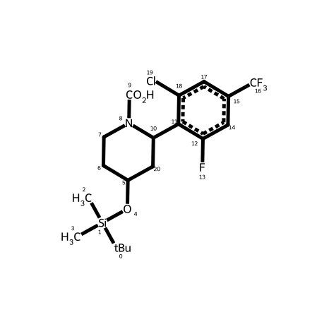 CC(C)(C)[Si](C)(C)OC1CCN(C(=O)O)C(c2c(F)cc(C(F)(F)F)cc2Cl)C1